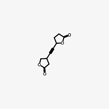 O=C1CC(C#CC2CCC(=O)O2)CO1